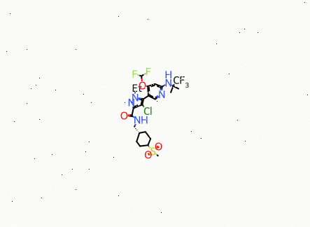 CCn1nc(C(=O)NC[C@H]2CC[C@H](S(C)(=O)=O)CC2)c(Cl)c1-c1cnc(NC(C)(C)C(F)(F)F)cc1OC(F)F